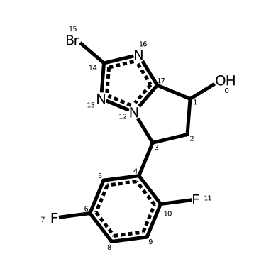 OC1CC(c2cc(F)ccc2F)n2nc(Br)nc21